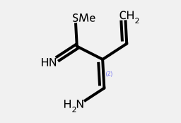 C=C/C(=C/N)C(=N)SC